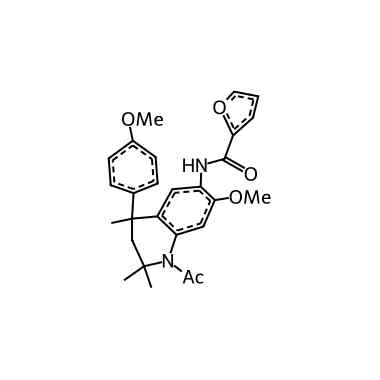 COc1ccc(C2(C)CC(C)(C)N(C(C)=O)c3cc(OC)c(NC(=O)c4ccco4)cc32)cc1